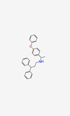 CC(NCCC(c1ccccc1)c1ccccc1)c1ccc(Oc2ccccc2)cc1